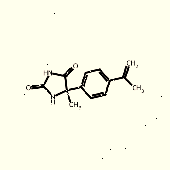 C=C(C)c1ccc(C2(C)NC(=O)NC2=O)cc1